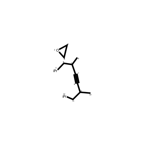 C1CO1.CC(C)CC(C)C#CC(C)CC(C)C